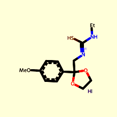 CCN/C(S)=N/CC1(c2ccc(OC)cc2)OCCO1.I